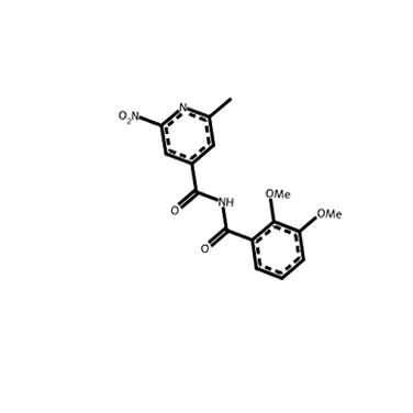 COc1cccc(C(=O)NC(=O)c2cc(C)nc([N+](=O)[O-])c2)c1OC